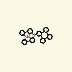 c1ccc2c(c1)-c1ccccc1-c1ccc(N3c4cccc5c4B4c6c(cccc63)-c3ccccc3N4c3ccccc3-5)cc1-c1ccccc1-2